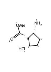 COC(=O)[C@H]1CCC[C@H]1N.Cl